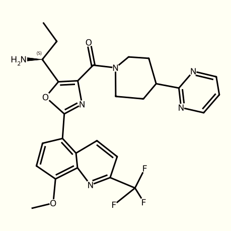 CC[C@H](N)c1oc(-c2ccc(OC)c3nc(C(F)(F)F)ccc23)nc1C(=O)N1CCC(c2ncccn2)CC1